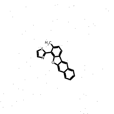 Cc1ccc2c(oc3cc4ccccc4cc32)c1-c1nccs1